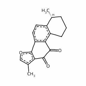 Cc1coc2c1C(=O)C(=O)c1c-2ccc2c1CCC[C@H]2C